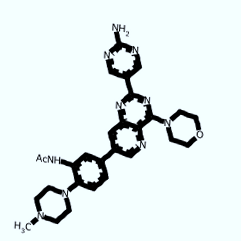 CC(=O)Nc1cc(-c2cnc3c(N4CCOCC4)nc(-c4cnc(N)nc4)nc3c2)ccc1N1CCN(C)CC1